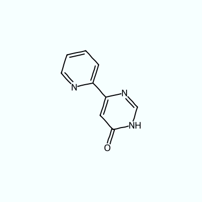 O=c1cc(-c2ccccn2)nc[nH]1